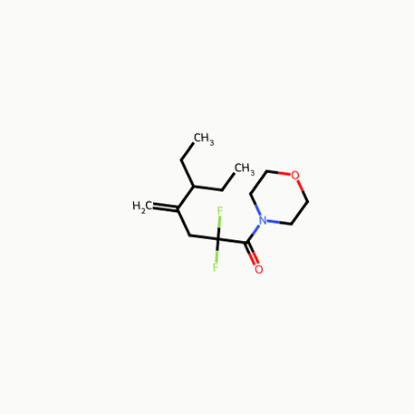 C=C(CC(F)(F)C(=O)N1CCOCC1)C(CC)CC